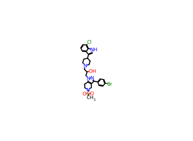 CS(=O)(=O)N1CCc2c(c(-c3ccc(Br)cc3)nn2CC(O)CN2CCC(c3c[nH]c4c(Cl)cccc34)CC2)C1